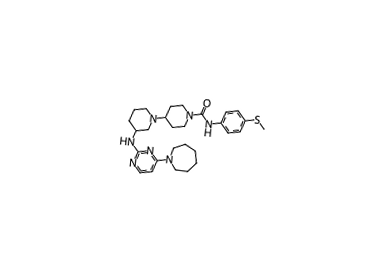 CSc1ccc(NC(=O)N2CCC(N3CCCC(Nc4nccc(N5CCCCCC5)n4)C3)CC2)cc1